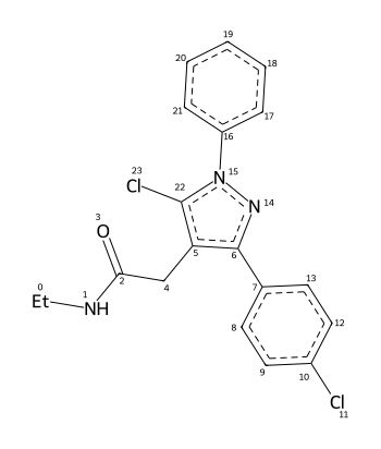 CCNC(=O)Cc1c(-c2ccc(Cl)cc2)nn(-c2ccccc2)c1Cl